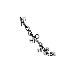 CC(C)(C)OC(=O)NCCOCCNC(=O)CCOCCOCCN=[N+]=[N-]